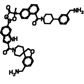 C[C@@]1(c2ccc3c(C(=O)N4CCC(c5cccc(CN)c5)CC4)cccc3c2)OB(c2ccc3cc(C(=O)N4CCC5(CC4)COc4ccc(CN)cc45)[nH]c3c2)OC1=O